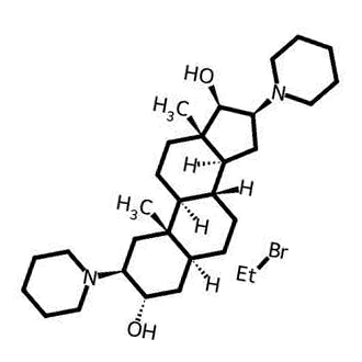 CCBr.C[C@]12C[C@H](N3CCCCC3)[C@@H](O)C[C@@H]1CC[C@@H]1[C@@H]2CC[C@]2(C)[C@@H](O)[C@@H](N3CCCCC3)C[C@@H]12